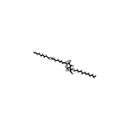 CCCCCCCCCCCCCCCCCCNC(=O)C(C)C(C(=O)O)C(CC)OCCCCCCCCCCCC